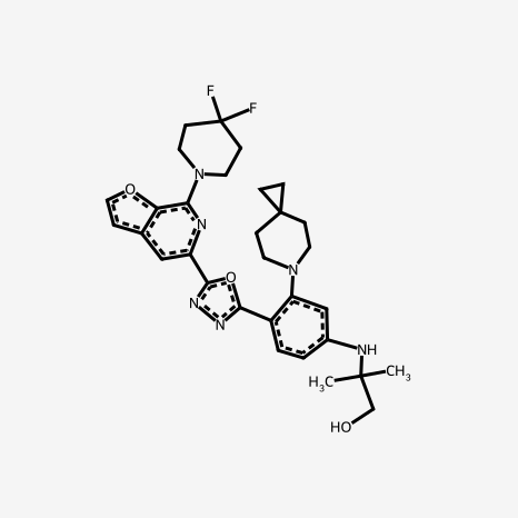 CC(C)(CO)Nc1ccc(-c2nnc(-c3cc4ccoc4c(N4CCC(F)(F)CC4)n3)o2)c(N2CCC3(CC2)CC3)c1